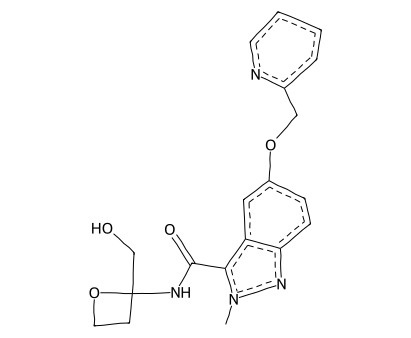 Cn1nc2ccc(OCc3ccccn3)cc2c1C(=O)NC1(CO)CCO1